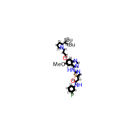 COc1cc2c(Nc3ncc(CC(=O)Nc4cccc(F)c4)s3)ncnc2cc1OCCCN1CCC[C@H]1C(C(C)(C)C)C(C)(C)C